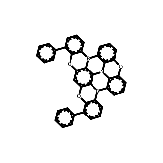 c1ccc(-c2cccc3c2Oc2cc4c5c6c2B3c2cccc3c2N6c2c(cccc2B5c2cccc(-c5ccccc5)c2O4)O3)cc1